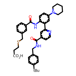 CC(C)(C)c1ccc(CNC(=O)c2ccnc(-c3cc(N4CCCCC4)ccc3NC(=O)c3cccc(CSCCC(=O)O)c3)c2)cc1